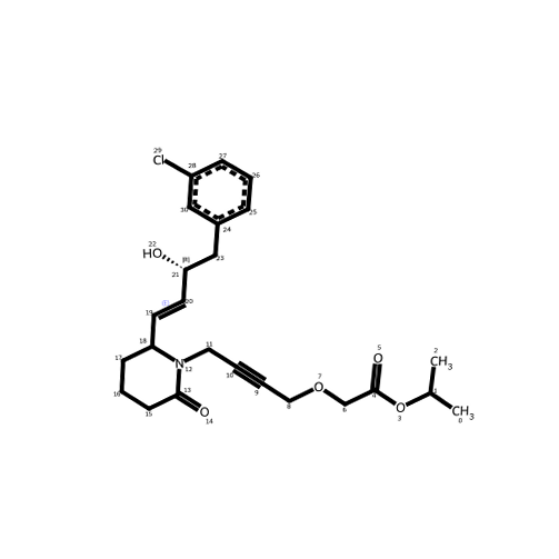 CC(C)OC(=O)COCC#CCN1C(=O)CCCC1/C=C/[C@H](O)Cc1cccc(Cl)c1